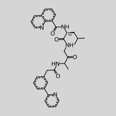 CC(C)C[C@H](NC(=O)c1cccc2cccnc12)C(=O)NCC(=O)C(C)NC(=O)Cc1cccc(-c2ccccn2)c1